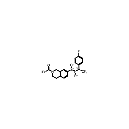 CCN([C@@H](c1ccc(F)cc1)C(F)(F)F)[S+]([O-])c1ccc2c(c1)CN(C(=O)C(C)C)CC2